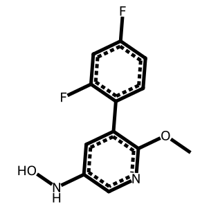 COc1ncc(NO)cc1-c1ccc(F)cc1F